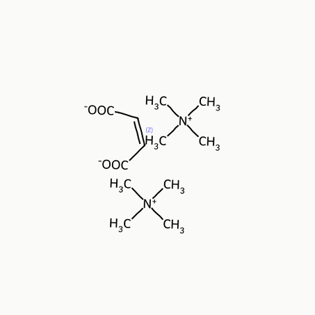 C[N+](C)(C)C.C[N+](C)(C)C.O=C([O-])/C=C\C(=O)[O-]